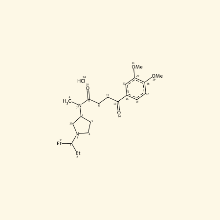 CCC(CC)N1CCC(N(C)C(=O)CCC(=O)c2ccc(OC)c(OC)c2)C1.Cl